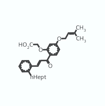 CCCCCCCc1ccccc1C=CC(=O)c1ccc(OCC=C(C)C)cc1OCC(=O)O